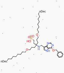 CCCCCCCCCCCCCCCCCCOCCCC(CCCOCCCCCCCCCCCCCCCCCC)(CCP(=O)(O)O)NCc1c[nH]c2c(OCc3ccccc3)ncnc12